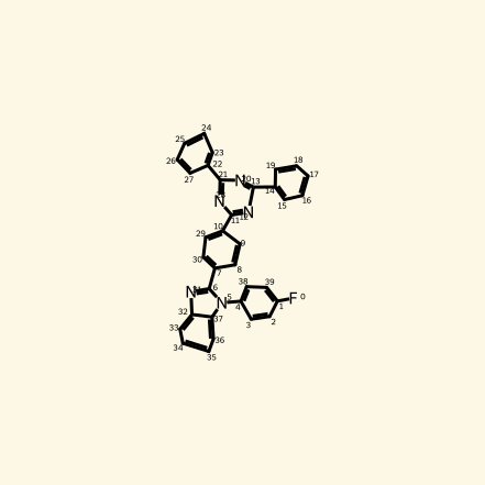 Fc1ccc(-n2c(-c3ccc(-c4nc(-c5ccccc5)nc(-c5ccccc5)n4)cc3)nc3ccccc32)cc1